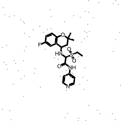 CCS(=O)(=O)C(NC1CC(C)(C)Oc2ccc(F)cc21)C(=O)Nc1ccncc1